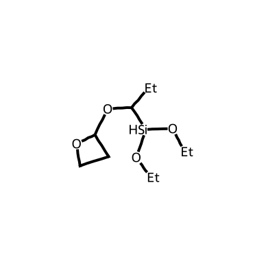 CCO[SiH](OCC)C(CC)OC1CCO1